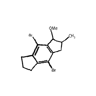 COC1c2c(Br)c3c(c(Br)c2CC1C)CCC3